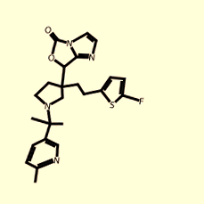 Cc1ccc(C(C)(C)N2CCC(CCc3ccc(F)s3)(C3OC(=O)n4ccnc43)C2)cn1